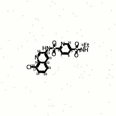 CCNS(=O)(=O)c1ccc(S(=O)(=O)Nc2cnc3c(Cl)cccc3c2)nc1